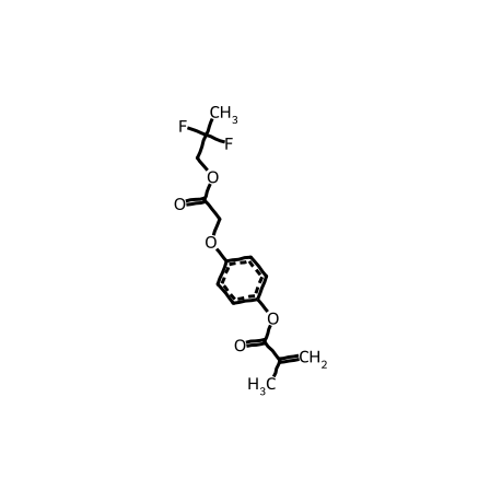 C=C(C)C(=O)Oc1ccc(OCC(=O)OCC(C)(F)F)cc1